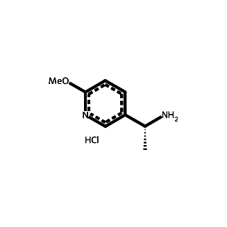 COc1ccc([C@@H](C)N)cn1.Cl